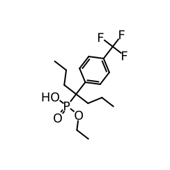 CCCC(CCC)(c1ccc(C(F)(F)F)cc1)P(=O)(O)OCC